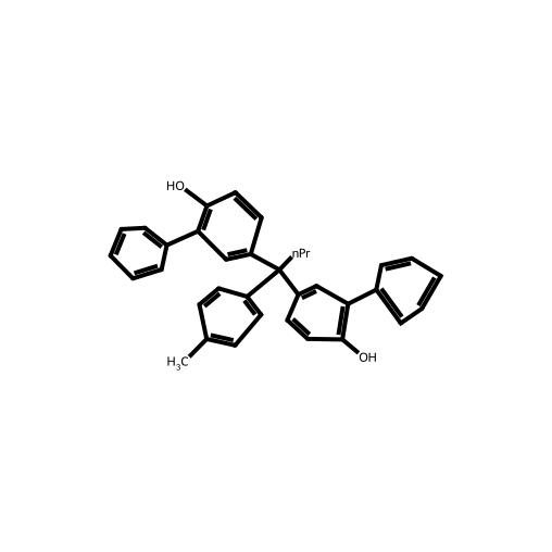 CCCC(c1ccc(C)cc1)(c1ccc(O)c(-c2ccccc2)c1)c1ccc(O)c(-c2ccccc2)c1